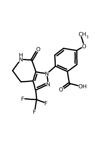 COc1ccc(-n2nc(C(F)(F)F)c3c2C(=O)NCC3)c(C(=O)O)c1